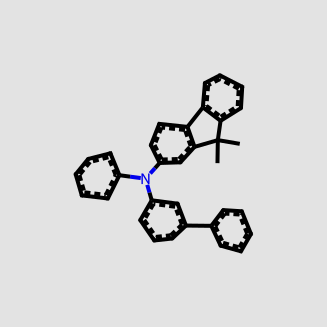 CC1(C)c2ccccc2-c2ccc(N(c3ccccc3)c3cccc(-c4ccccc4)c3)cc21